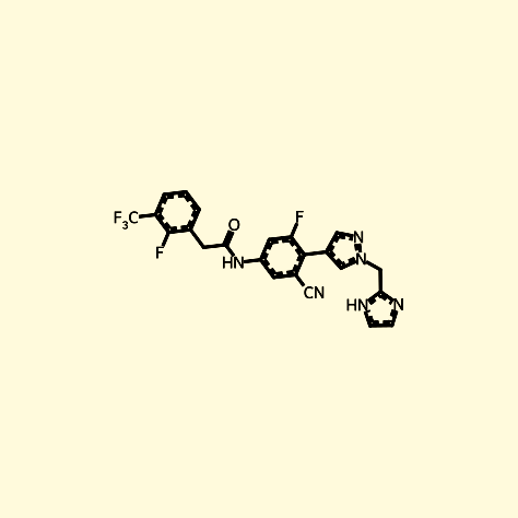 N#Cc1cc(NC(=O)Cc2cccc(C(F)(F)F)c2F)cc(F)c1-c1cnn(Cc2ncc[nH]2)c1